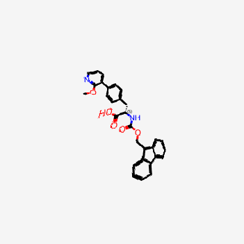 COc1ncccc1-c1ccc(C[C@H](NC(=O)OCC2c3ccccc3-c3ccccc32)C(=O)O)cc1